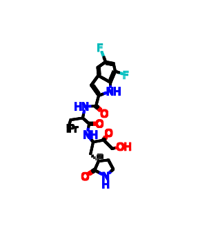 CC(C)CC(NC(=O)c1cc2cc(F)cc(F)c2[nH]1)C(=O)NC(C[C@@H]1CCNC1=O)C(=O)CO